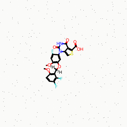 [2H]C([2H])(Oc1cc(-n2c(=O)[nH]c(=O)c3c(C(=O)O)scc32)c(F)cc1OC)c1c(OC)ccc(F)c1F